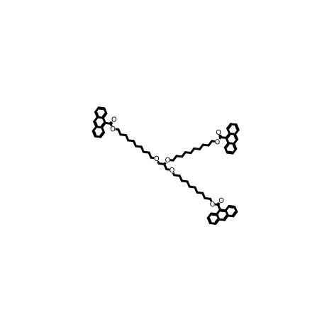 O=C(OCCCCCCCCCCOCC(COCCCCCCCCCCOC(=O)c1c2ccccc2cc2ccccc12)OCCCCCCCCCCOC(=O)c1c2ccccc2cc2ccccc12)c1c2ccccc2cc2ccccc12